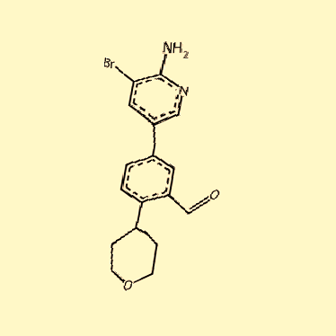 Nc1ncc(-c2ccc(C3CCOCC3)c(C=O)c2)cc1Br